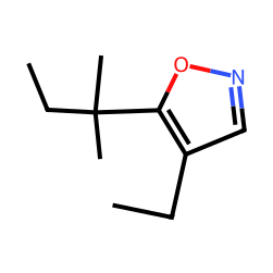 CCc1cnoc1C(C)(C)CC